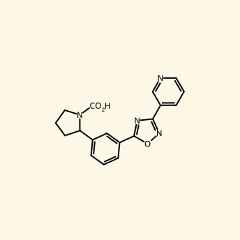 O=C(O)N1CCCC1c1cccc(-c2nc(-c3cccnc3)no2)c1